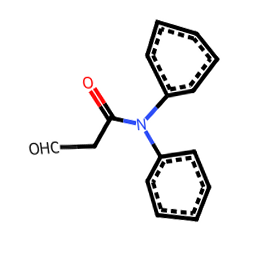 O=CCC(=O)N(c1ccccc1)c1ccccc1